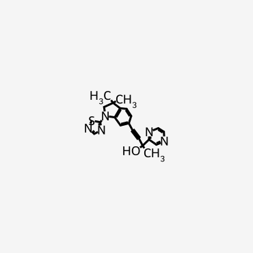 CC(O)(C#Cc1ccc2c(c1)N(c1ncns1)CC2(C)C)c1cnccn1